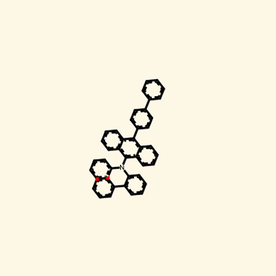 c1ccc(-c2ccc(-c3c4ccccc4c(N(c4ccccn4)c4ccccc4-c4ccccc4)c4ccccc34)cc2)cc1